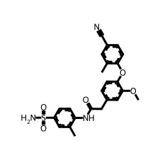 COc1cc(CC(=O)Nc2ccc(S(N)(=O)=O)cc2C)ccc1Oc1ccc(C#N)cc1C